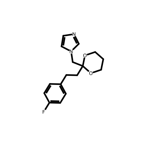 Fc1ccc(CCC2(Cn3ccnc3)OCCCO2)cc1